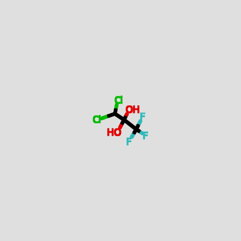 OC(O)(C(Cl)Cl)C(F)(F)F